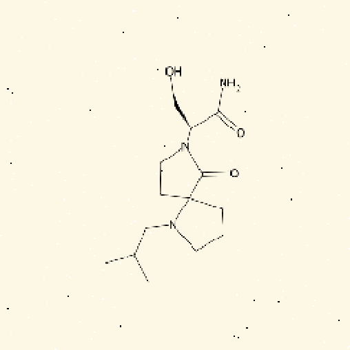 CC(C)CN1CCCC12CCN([C@@H](CO)C(N)=O)C2=O